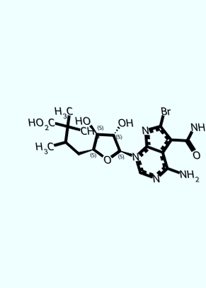 CC(C[C@@H]1O[C@H](n2cnc(N)c3c(C(N)=O)c(Br)nc2-3)[C@@H](O)[C@@H]1O)C(C)(C)C(=O)O